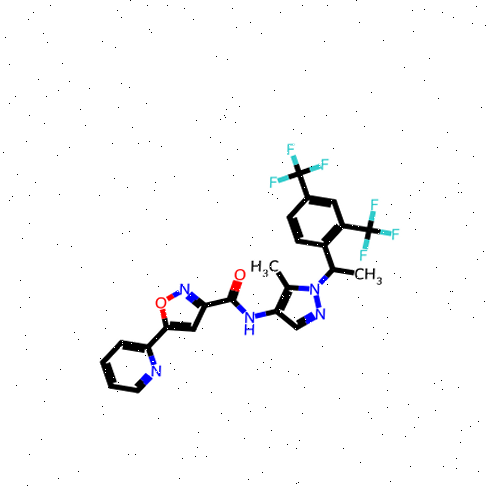 Cc1c(NC(=O)c2cc(-c3ccccn3)on2)cnn1C(C)c1ccc(C(F)(F)F)cc1C(F)(F)F